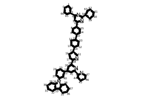 c1ccc(-c2cc(-c3ccc(-c4ccc(-c5ccc(-c6cc(-c7cccc(-n8c9ccccc9c9ccccc98)c7)cc(-c7ccccn7)n6)nc5)cc4)cc3)nc(-c3ccccc3)n2)cc1